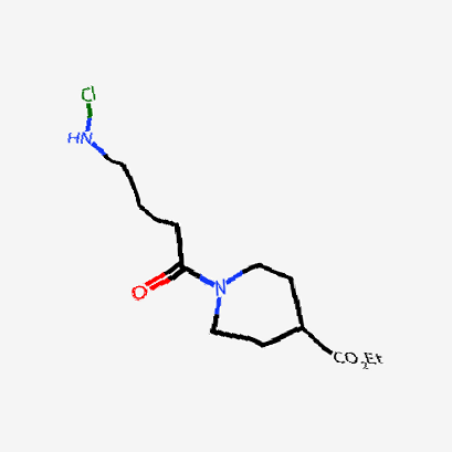 CCOC(=O)C1CCN(C(=O)CCCNCl)CC1